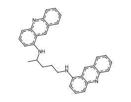 CC(CCCNc1cccc2nc3ccccc3cc12)Nc1cccc2nc3ccccc3cc12